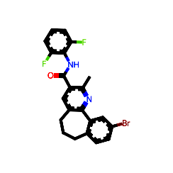 Cc1nc2c(cc1C(=O)Nc1c(F)cccc1F)CCCc1ccc(Br)cc1-2